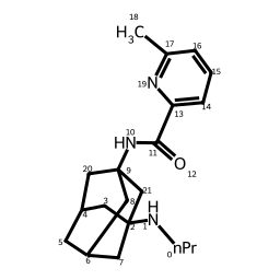 CCCNC12CC3CC(C1)CC(NC(=O)c1cccc(C)n1)(C3)C2